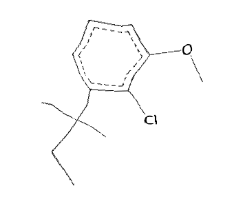 CCC(C)(C)c1cccc(OC)c1Cl